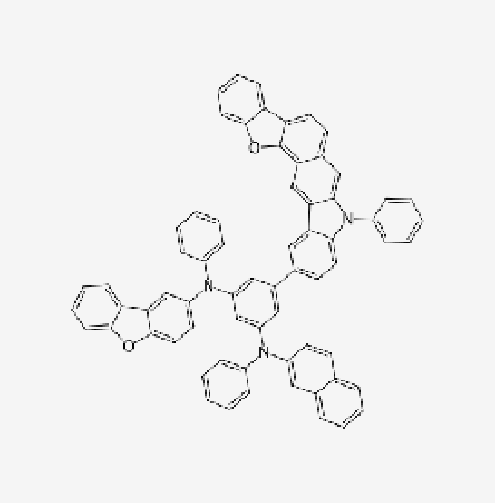 c1ccc(N(c2cc(-c3ccc4c(c3)c3cc5c(ccc6c7ccccc7oc56)cc3n4-c3ccccc3)cc(N(c3ccccc3)c3ccc4oc5ccccc5c4c3)c2)c2ccc3ccccc3c2)cc1